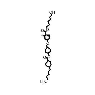 CCCCCCC1CCC(C(=O)OC2CCC(COc3ccc(C(=O)OCCCCCCO)c(F)c3)CC2)CC1